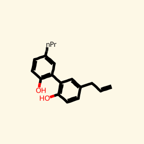 C=CCc1ccc(O)c(-c2cc(CCC)ccc2O)c1